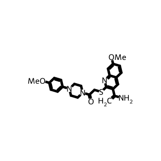 C=C(N)c1cc2ccc(OC)cc2nc1SCC(=O)N1CCN(c2ccc(OC)cc2)CC1